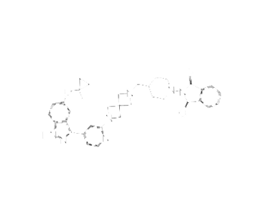 CC1(Oc2ccc3[nH]nc(-c4ccnc(N5CC6(CN(CC7CCN(N8C(=O)c9ccccc9C8=O)CC7)C6)C5)c4)c3c2)CC1